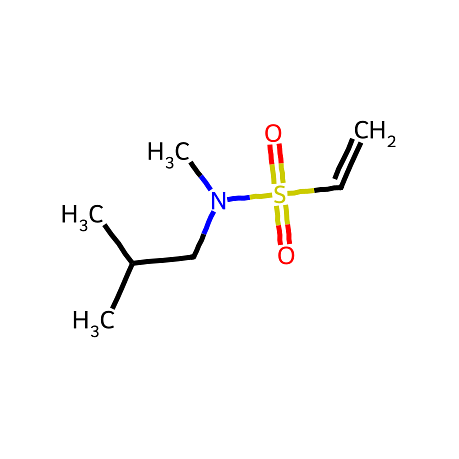 C=CS(=O)(=O)N(C)CC(C)C